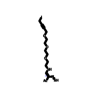 CC(=O)/C(=C/NCCOCCOCCOCC#CCI)N=N